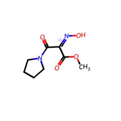 COC(=O)/C(=N\O)C(=O)N1CCCC1